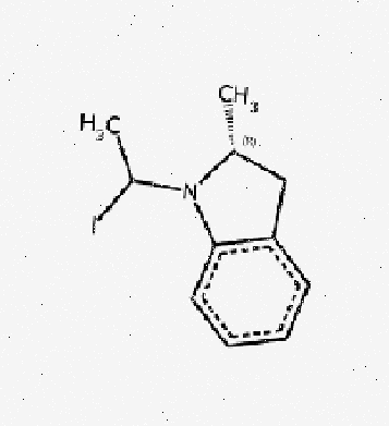 CC(I)N1c2ccccc2C[C@H]1C